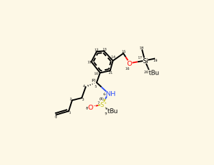 C=CCCC[C@@H](N[S@@+]([O-])C(C)(C)C)c1cccc(CO[Si](C)(C)C(C)(C)C)c1